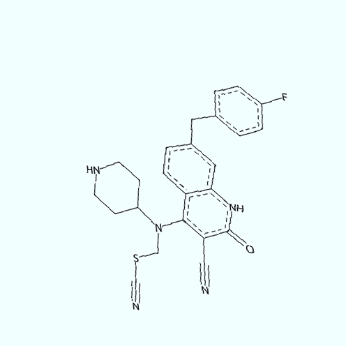 N#CSCN(c1c(C#N)c(=O)[nH]c2cc(Cc3ccc(F)cc3)ccc12)C1CCNCC1